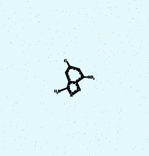 Nc1nsc2c([N+](=O)[O-])cc(Cl)cc12